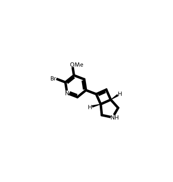 COc1cc(C2=C[C@@H]3CNC[C@H]23)cnc1Br